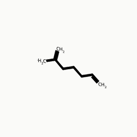 [CH2]C(=C)CCC[C]=C